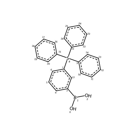 OB(O)c1cccc(S(c2ccccc2)(c2ccccc2)c2ccccc2)c1